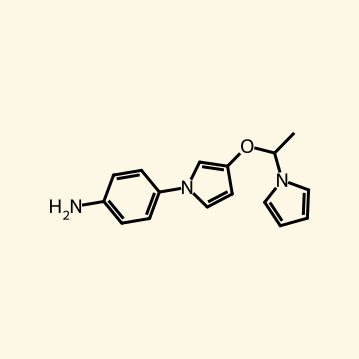 CC(Oc1ccn(-c2ccc(N)cc2)c1)n1cccc1